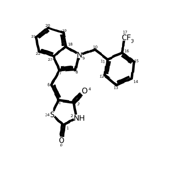 O=C1NC(=O)C(=Cc2cn(Cc3ccccc3C(F)(F)F)c3ccccc23)S1